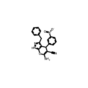 N#CC1=C(N)Oc2[nH]nc(Cc3ccccc3)c2C1c1cccc([N+](=O)[O-])c1